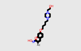 CC(=O)c1cc2ccc(OCCCCCN3CCN(CCO)CC3)cc2oc1=NO